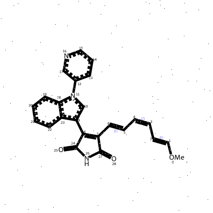 CO/C=C/C=C\C=C\C1=C(c2cn(-c3cccnc3)c3ccccc23)C(=O)NC1=O